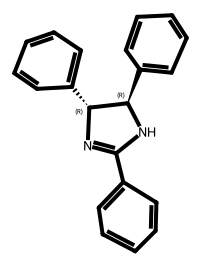 c1ccc(C2=N[C@H](c3ccccc3)[C@@H](c3ccccc3)N2)cc1